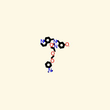 COc1cccc(CN(Cc2ccc3ncccc3c2)c2nc(COCCOc3cccc(N(C)C)c3)co2)c1